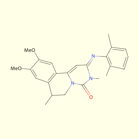 COc1cc2c(cc1OC)C(C)Cn1c-2c/c(=N/c2c(C)cccc2C)n(C)c1=O